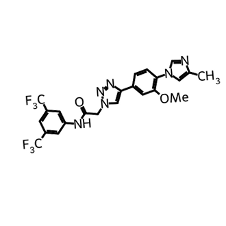 COc1cc(-c2cn(CC(=O)Nc3cc(C(F)(F)F)cc(C(F)(F)F)c3)nn2)ccc1-n1cnc(C)c1